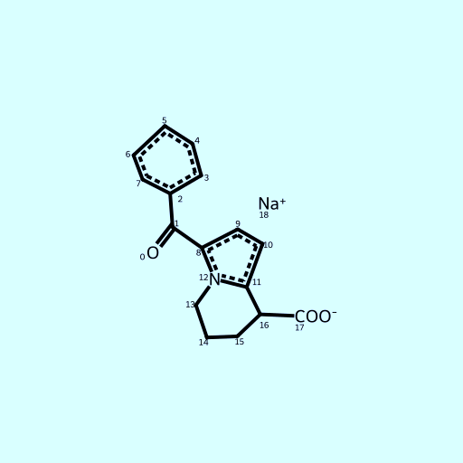 O=C(c1ccccc1)c1ccc2n1CCCC2C(=O)[O-].[Na+]